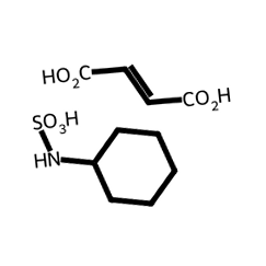 O=C(O)C=CC(=O)O.O=S(=O)(O)NC1CCCCC1